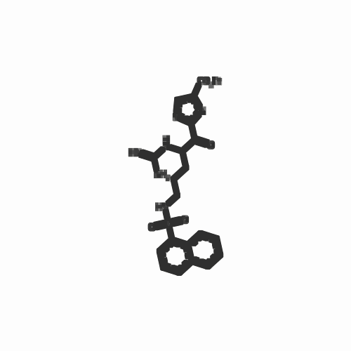 CCOC(=O)c1csc(C(=O)C(CCCNS(=O)(=O)c2cccc3ccccc23)NC(=N)N)n1